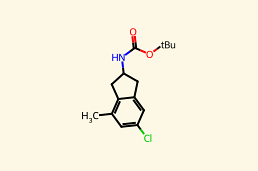 Cc1cc(Cl)cc2c1CC(NC(=O)OC(C)(C)C)C2